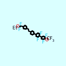 CCO/C(F)=C(\F)c1ccc(CCc2ccc(-c3cc(F)c(-c4cc(F)c(OC(F)(F)F)c(F)c4)c(F)c3)cc2)cc1